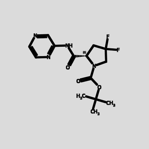 CC(C)(C)OC(=O)N1CC(F)(F)C[C@H]1C(=O)Nc1cnccn1